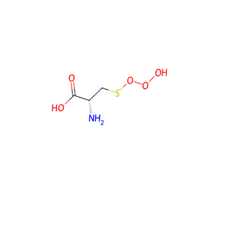 N[C@@H](CSOOO)C(=O)O